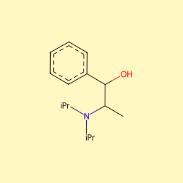 CC(C)N(C(C)C)C(C)C(O)c1ccccc1